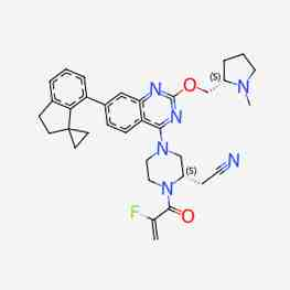 C=C(F)C(=O)N1CCN(c2nc(OC[C@@H]3CCCN3C)nc3cc(-c4cccc5c4C4(CC5)CC4)ccc23)C[C@@H]1CC#N